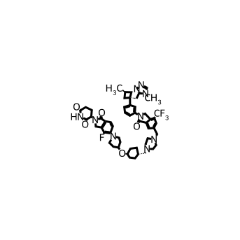 Cn1cnnc1C[C@]1(c2cccc(N3Cc4c(cc(CN5CCN(C[C@H]6CC[C@H](OC7CCN(c8ccc9c(c8F)CN(C8CCC(=O)NC8=O)C9=O)CC7)CC6)CC5)cc4C(F)(F)F)C3=O)c2)C[C@@H](C)C1